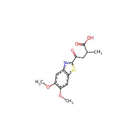 COc1cc2nc(C(=O)CC(C)C(=O)O)sc2cc1OC